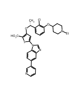 CCN1CCC(Oc2cccc([C@@H](C)Oc3cc(-n4cnc5cc(-c6cccnc6)ccc54)sc3C(=O)O)c2Cl)CC1